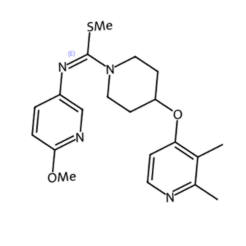 COc1ccc(/N=C(/SC)N2CCC(Oc3ccnc(C)c3C)CC2)cn1